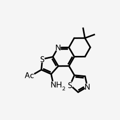 CC(=O)c1sc2nc3c(c(-c4cncs4)c2c1N)CCC(C)(C)C3